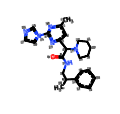 Cc1cc(C(C(=O)NCC(C)c2ccccc2)N2CCCCC2)nc(-n2ccnc2)n1